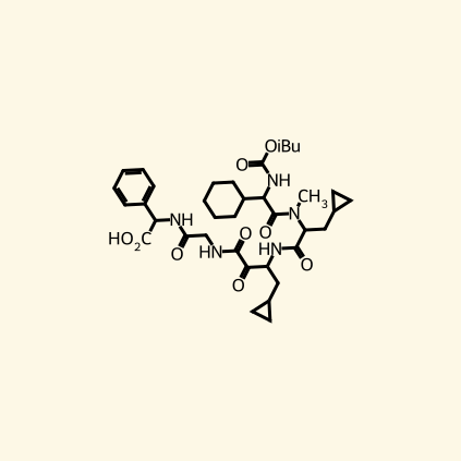 CC(C)COC(=O)NC(C(=O)N(C)C(CC1CC1)C(=O)NC(CC1CC1)C(=O)C(=O)NCC(=O)NC(C(=O)O)c1ccccc1)C1CCCCC1